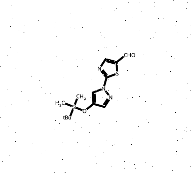 CC(C)(C)[Si](C)(C)Oc1cnn(-c2ncc(C=O)s2)c1